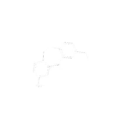 CC(=O)Nc1ccc2c(c1)C(=O)c1cc(CC(=O)O)ccc1SC2